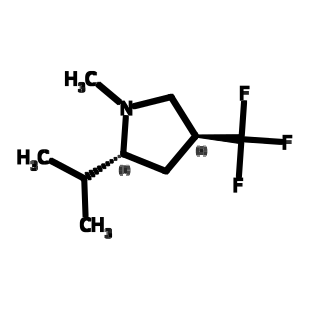 CC(C)[C@H]1C[C@H](C(F)(F)F)CN1C